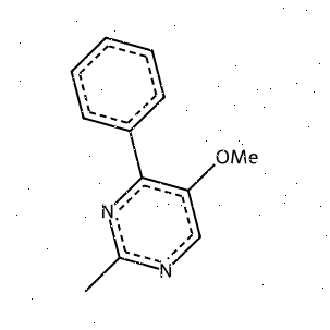 COc1cnc(C)nc1-c1ccccc1